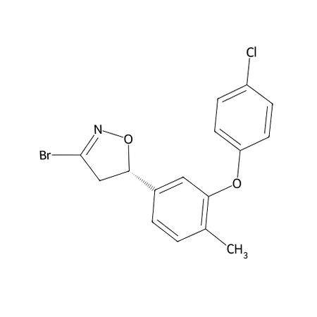 Cc1ccc([C@@H]2CC(Br)=NO2)cc1Oc1ccc(Cl)cc1